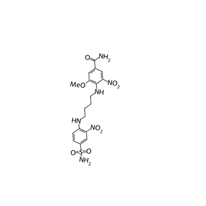 COc1cc(C(N)=O)cc([N+](=O)[O-])c1NCCCCNc1ccc(S(N)(=O)=O)cc1[N+](=O)[O-]